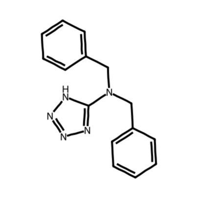 c1ccc(CN(Cc2ccccc2)c2nnn[nH]2)cc1